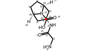 NCC(=O)N[C@@H]1C[C@H]2CC[C@@H](C1)N2C(=O)O